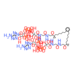 CC(C)(COP(=O)(O)OP(=O)(O)OCC1OC(n2cnc3c(N)ncnc32)C(O)C1OP(=O)(O)O)C(O)C(=O)NCCC(=O)NCCC(=O)C1(CCCCCCc2ccccc2CCCCCCC2(C(=O)CCNC(=O)CCNC(=O)C(O)C(C)(C)COP(=O)(O)OP(=O)(O)OCC3OC(n4cnc5c(N)ncnc54)C(O)C3OP(=O)(O)O)CC2)CC1